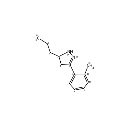 CCCC1CC(c2ccccc2N)=NN1